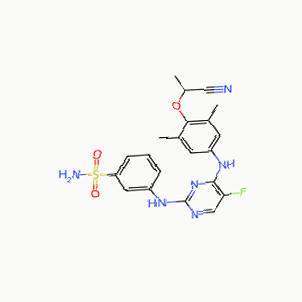 Cc1cc(Nc2nc(Nc3cccc(S(N)(=O)=O)c3)ncc2F)cc(C)c1OC(C)C#N